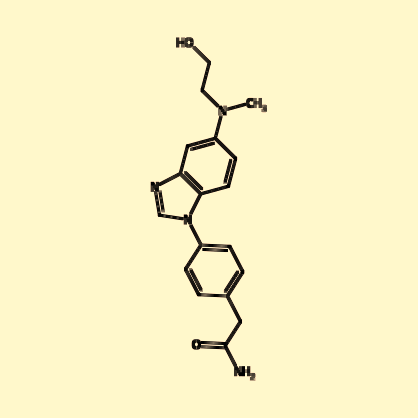 CN(CCO)c1ccc2c(c1)ncn2-c1ccc(CC(N)=O)cc1